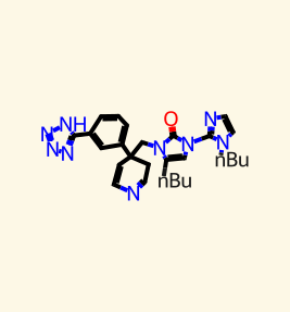 CCCCc1cn(-c2nccn2CCCC)c(=O)n1CC1(c2cccc(-c3nnn[nH]3)c2)C=CN=CC1